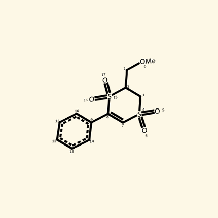 COCC1CS(=O)(=O)C=C(c2ccccc2)S1(=O)=O